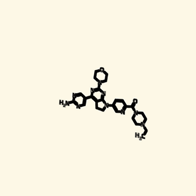 CCN1CCN(C(=O)c2ccc(N3CCc4c(-c5cnc(N)nc5)nc(N5CCOCC5)nc43)cn2)CC1